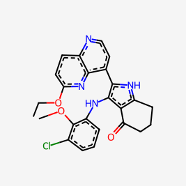 CCOc1ccc2nccc(-c3[nH]c4c(c3Nc3cccc(Cl)c3OC)C(=O)CCC4)c2n1